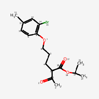 CC(=O)C(CCCOc1ccc(C)cc1Br)C(=O)OC(C)C